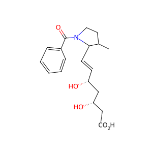 CC1CCN(C(=O)c2ccccc2)C1C=C[C@@H](O)C[C@@H](O)CC(=O)O